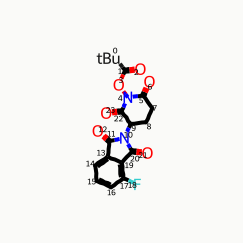 CC(C)(C)C(=O)ON1C(=O)CCC(N2C(=O)c3cccc(F)c3C2=O)C1=O